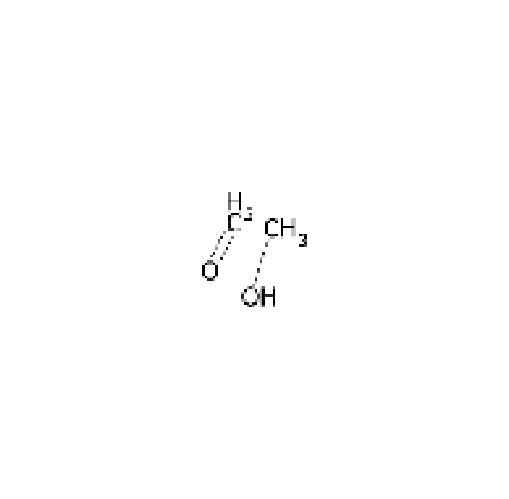 C=O.CO